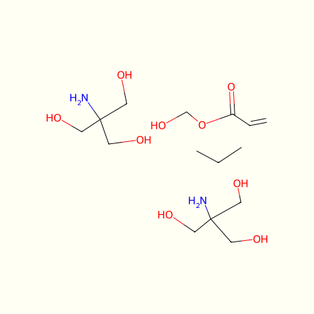 C=CC(=O)OCO.CCC.NC(CO)(CO)CO.NC(CO)(CO)CO